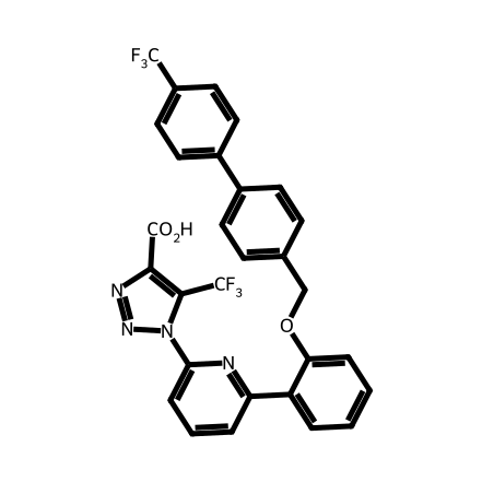 O=C(O)c1nnn(-c2cccc(-c3ccccc3OCc3ccc(-c4ccc(C(F)(F)F)cc4)cc3)n2)c1C(F)(F)F